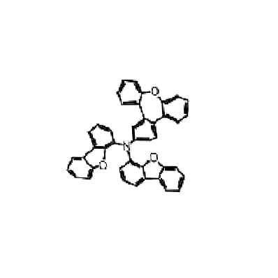 c1ccc2c(c1)Oc1ccccc1-c1cc(N(c3cccc4c3oc3ccccc34)c3cccc4c3oc3ccccc34)ccc1-2